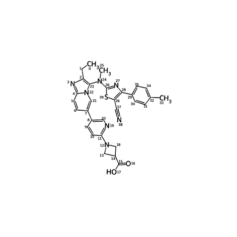 CCc1nc2ccc(-c3ccc(N4CC(C(=O)O)C4)nc3)cn2c1N(C)c1nc(-c2ccc(C)cc2)c(C#N)s1